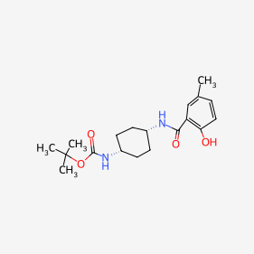 Cc1ccc(O)c(C(=O)N[C@H]2CC[C@@H](NC(=O)OC(C)(C)C)CC2)c1